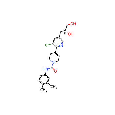 Cc1ccc(NC(=O)N2CC=C(c3ncc(C[C@@H](O)CO)cc3Cl)CC2)cc1C